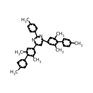 Cc1ccc(-c2nc(-c3cc(C)c(-c4ccc(C)cc4)c(C)c3)cc(-c3cc(C)c(-c4ccc(C)cc4)c(C)c3)n2)cc1